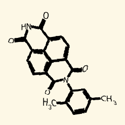 Cc1ccc(C)c(N2C(=O)c3ccc4c5c(ccc(c35)C2=O)C(=O)NC4=O)c1